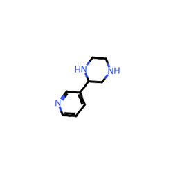 c1cncc(C2CNCCN2)c1